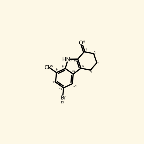 O=C1CCCc2c1[nH]c1c(Cl)cc(Br)cc21